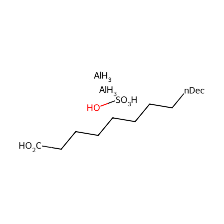 CCCCCCCCCCCCCCCCCC(=O)O.O=S(=O)(O)O.[AlH3].[AlH3]